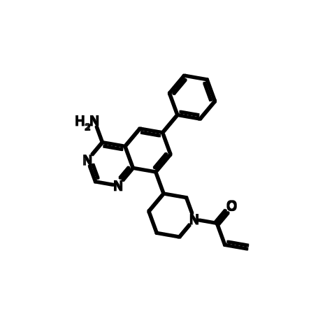 C=CC(=O)N1CCCC(c2cc(-c3ccccc3)cc3c(N)ncnc23)C1